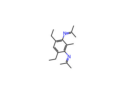 CCc1cc(CC)c(N=C(C)C)c(C)c1N=C(C)C